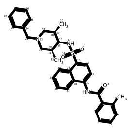 Cc1ccccc1C(=O)Nc1ccc(S(=O)(=O)N[C@@H]2[C@H](C)CN(Cc3ccccc3)C[C@@H]2C)c2ccccc12